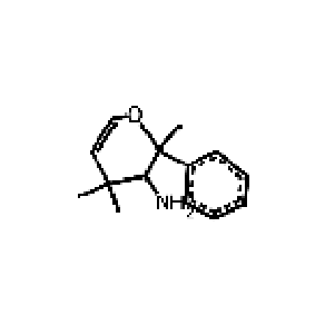 CC1(C)C=COC(C)(c2ccccc2)C1N